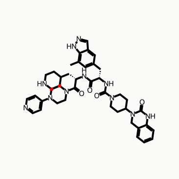 Cc1cc(C[C@H](NC(=O)N2CCC(N3Cc4ccccc4NC3=O)CC2)C(=O)N[C@@H](CC2CCNCC2)C(=O)N2CCN(c3ccncc3)CC2)cc2cn[nH]c12